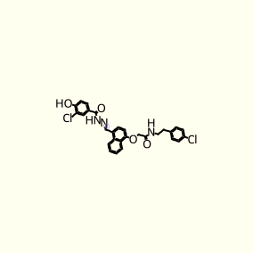 O=C(COc1ccc(/C=N/NC(=O)c2ccc(O)c(Cl)c2)c2ccccc12)NCCc1ccc(Cl)cc1